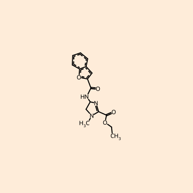 CCOC(=O)C1=NC(NC(=O)c2cc3ccccc3o2)CN1C